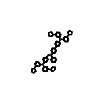 C(=C(/c1ccccc1)c1ccc(-c2ccc(N(c3cccc(C4CCCC4)c3)c3cccc(C4CCCC4)c3)cc2)cc1)/c1ccc(N(c2cccc(C3CCCC3)c2)c2cccc(C3CCCC3)c2)cc1